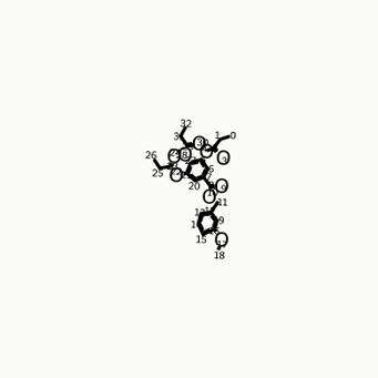 CCC(=O)Oc1cc(C(=O)OCc2cccc(OC)c2)cc(OC(=O)CC)c1OC(=O)CC